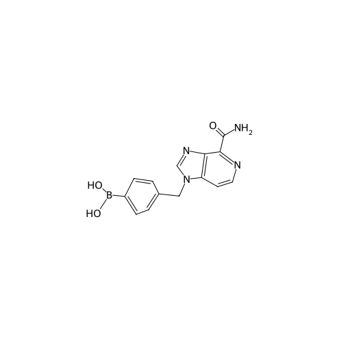 NC(=O)c1nccc2c1ncn2Cc1ccc(B(O)O)cc1